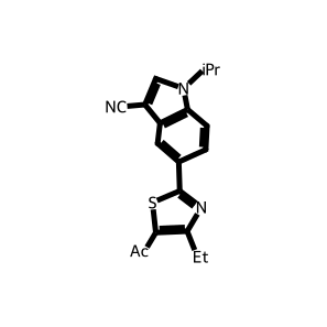 CCc1nc(-c2ccc3c(c2)c(C#N)cn3C(C)C)sc1C(C)=O